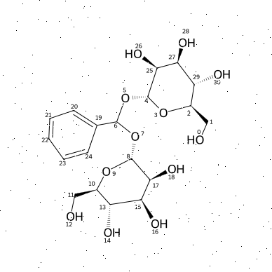 OC[C@H]1O[C@H](OC(O[C@H]2O[C@H](CO)[C@@H](O)[C@H](O)[C@@H]2O)c2ccccc2)[C@@H](O)[C@@H](O)[C@@H]1O